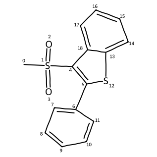 CS(=O)(=O)c1c(-c2ccccc2)sc2ccccc12